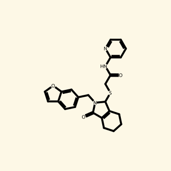 O=C(CSC1C2=C(CCCC2)C(=O)N1Cc1ccc2ccoc2c1)Nc1ccccn1